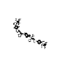 O=C(CO[C@H]1C[C@H](OC(F)(F)F)C1)NC1CN(C(=O)CO[C@H]2C[C@@H](OC(F)(F)F)C2)C1